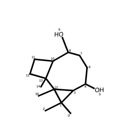 CC1(C)C2C(O)CCC(O)C3CCC3(C)C21C